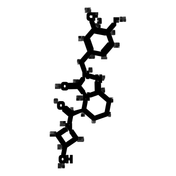 O=C([C@@H]1CCCc2nn(Cc3ccc(F)c(C(F)(F)F)c3)c(=O)n21)N1CC(O)C1